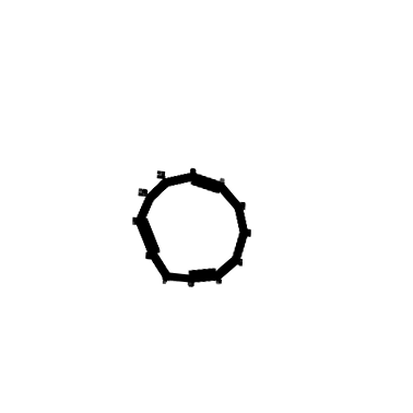 [C]1=CCCCC=CCC=CCC1